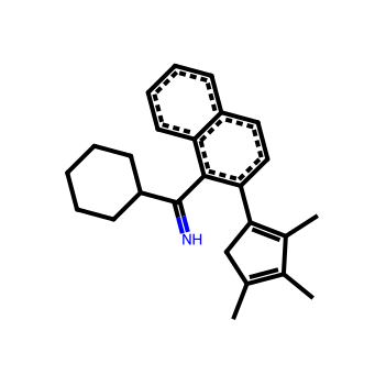 CC1=C(C)C(C)=C(c2ccc3ccccc3c2C(=N)C2CCCCC2)C1